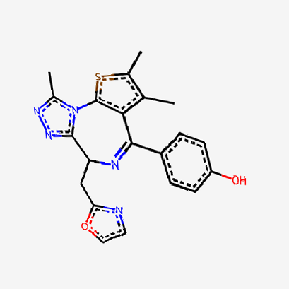 Cc1sc2c(c1C)C(c1ccc(O)cc1)=NC(Cc1ncco1)c1nnc(C)n1-2